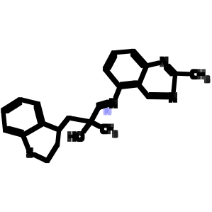 Cc1ncc2c(/N=C/C(O)(CC3CCSc4ccccc43)C(F)(F)F)cccc2n1